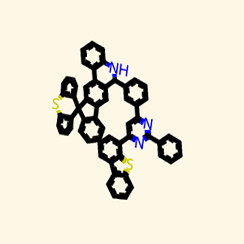 c1ccc(-c2nc(-c3cccc(C4Nc5ccccc5-c5cc6c(cc54)-c4ccccc4C64c5ccccc5Sc5ccccc54)c3)cc(-c3cccc4c3sc3ccccc34)n2)cc1